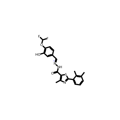 Cc1cccc(-c2nc(C)c(C(=O)N/N=C/c3ccc(OC(F)F)c(O)c3)s2)c1C